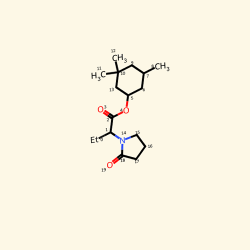 CCC(C(=O)OC1CC(C)CC(C)(C)C1)N1CCCC1=O